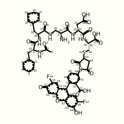 CC(=O)N[C@@H](Cc1ccccc1)C(=O)N[C@@H](Cc1ccccc1)C(=O)NC[C@H](N)C(=O)N[C@@H](CC(=O)O)C(=O)N[C@@H](CSC1CC(=O)N(c2ccc(-c3c4cc(F)c(=O)cc-4oc4cc(O)c(F)cc34)c(C(=O)O)c2)C1=O)C(=O)O